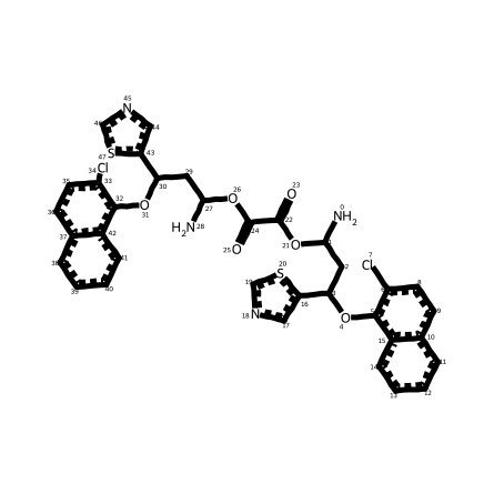 NC(CC(Oc1c(Cl)ccc2ccccc12)c1cncs1)OC(=O)C(=O)OC(N)CC(Oc1c(Cl)ccc2ccccc12)c1cncs1